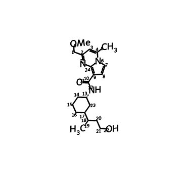 COCc1cc(C)n2ccc(C(=O)N[C@H]3CCCC(C(C)CCO)C3)c2n1